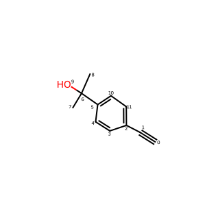 C#Cc1ccc(C(C)(C)O)cc1